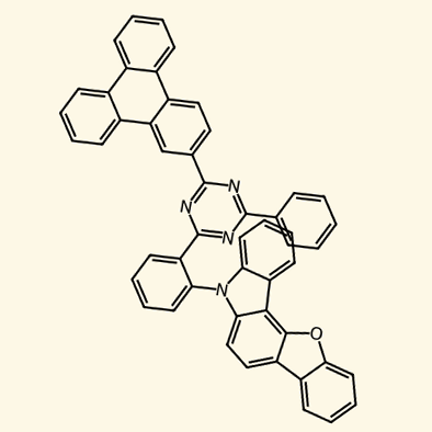 c1ccc(-c2nc(-c3ccc4c5ccccc5c5ccccc5c4c3)nc(-c3ccccc3-n3c4ccccc4c4c5oc6ccccc6c5ccc43)n2)cc1